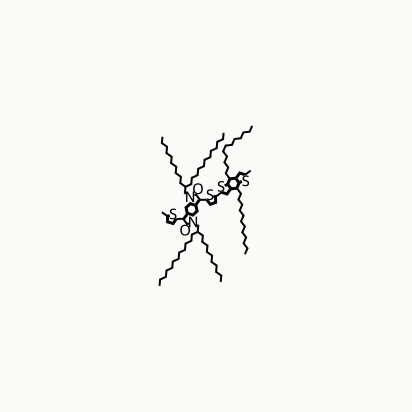 CCCCCCCCCCCCc1c2cc(-c3ccc(C4=c5cc6c(cc5N(CC(CCCCCCCCCC)CCCCCCCCCCCC)C4=O)=C(c4ccc(C)s4)C(=O)N6CC(CCCCCCCCCC)CCCCCCCCCCCC)s3)sc2c(CCCCCCCCCCCC)c2cc(C)sc12